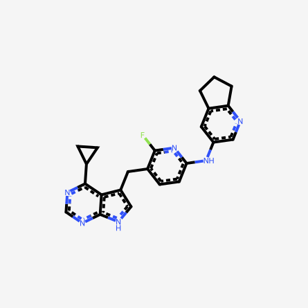 Fc1nc(Nc2cnc3c(c2)CCC3)ccc1Cc1c[nH]c2ncnc(C3CC3)c12